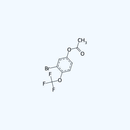 CC(=O)Oc1ccc(OC(F)(F)F)c(Br)c1